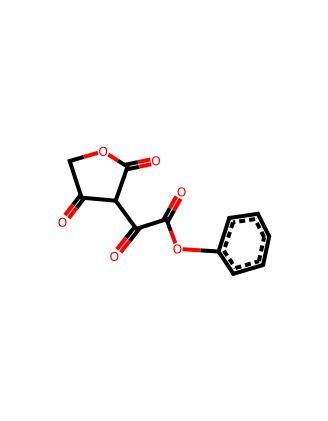 O=C(Oc1ccccc1)C(=O)C1C(=O)COC1=O